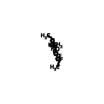 C=C(/C(F)=C(F)\C(=C/C)C(=O)OC1CCC(C2=CCC(CCCC)C(F)=C2F)CC1)C1CCC(CCC)CC1